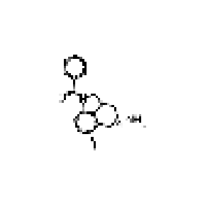 N[C@@H]1Cc2c(I)ccc3c2C(C1)CN3C(=O)c1ccccc1